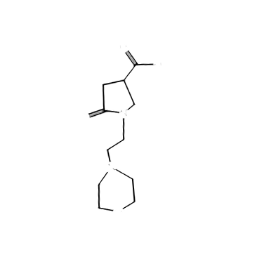 O=C(O)C1CC(=O)N(CCN2CCOCC2)C1